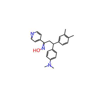 Cc1ccc(C(CC(=NO)c2ccncc2)c2ccc(N(C)C)cc2)cc1C